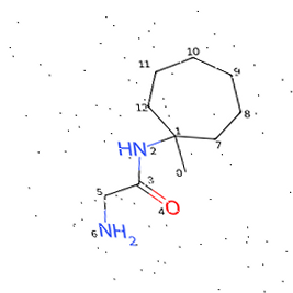 CC1(NC(=O)CN)CCCCCC1